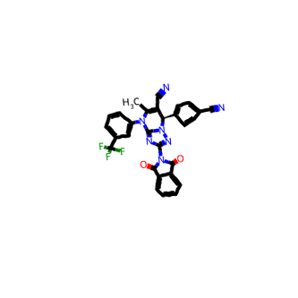 CC1=C(C#N)[C@@H](c2ccc(C#N)cc2)n2nc(N3C(=O)c4ccccc4C3=O)nc2N1c1cccc(C(F)(F)F)c1